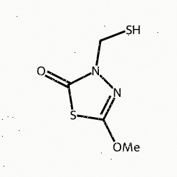 COc1nn(CS)c(=O)s1